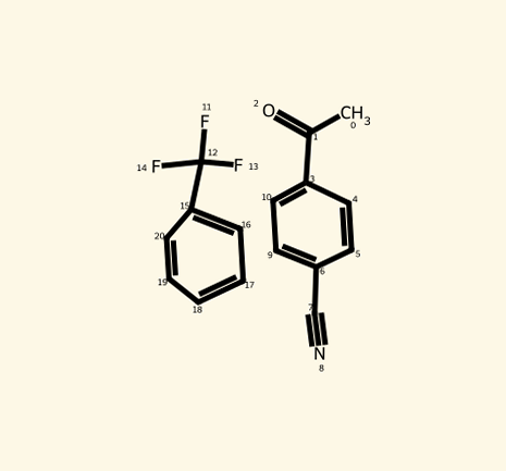 CC(=O)c1ccc(C#N)cc1.FC(F)(F)c1ccccc1